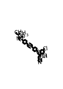 CCC(C)n1ncn(-c2ccc(N3CCN(c4ccc(OCC(O)(Cn5ccnc5)c5ccc(Cl)cc5Cl)cc4)CC3)cc2)c1=O